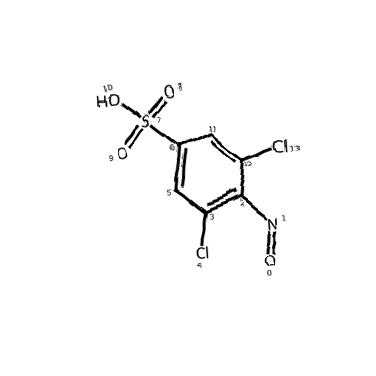 O=Nc1c(Cl)cc(S(=O)(=O)O)cc1Cl